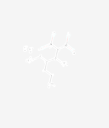 CCCC(CC)C(C)C(C(=O)[O-])C(=O)[O-].[K+].[K+]